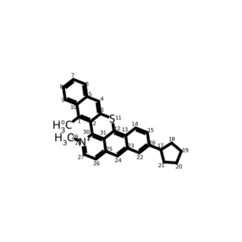 Cc1c2c(cc3ccccc13)Sc1c3ccc(C4CCCC4)cc3cc3cc[n+](C)c-2c13